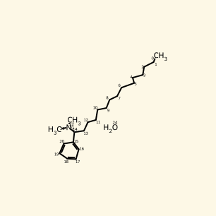 CCCCCCCCCCCCCCC(c1ccccc1)N(C)C.O